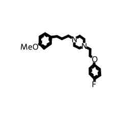 COc1ccc(CCCN2CCN(CCOc3ccc(F)cc3)CC2)cc1